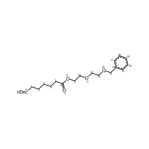 CCCCCCCCCCCCCCCC(=O)OCCOCCOCc1ccccc1